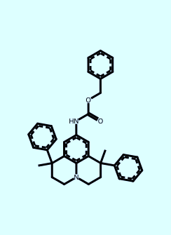 CC1(c2ccccc2)CCN2CCC(C)(c3ccccc3)c3cc(NC(=O)OCc4ccccc4)cc1c32